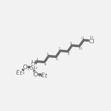 CCO[SiH](CCCCCCCCCCl)OCC